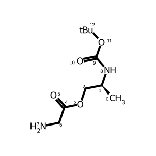 C[C@@H](COC(=O)CN)NC(=O)OC(C)(C)C